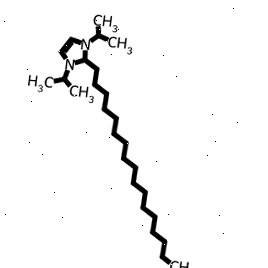 CCCCCCCCCCCCCCCCCC1N(C(C)C)C=CN1C(C)C